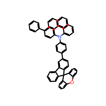 c1ccc(-c2ccc(N(c3ccc(-c4ccc5c(c4)-c4ccccc4C54c5ccccc5Oc5ccccc54)cc3)c3ccccc3-c3ccccc3)c(-c3ccccc3)c2)cc1